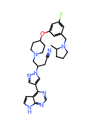 CC1CCCN1Cc1cc(F)cc(OC2CCN(CC(CC#N)n3cc(-c4ncnc5[nH]ccc45)cn3)CC2)c1